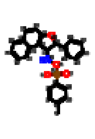 Cc1ccc(S(=O)(=O)ONC2c3c(ccc4ccccc34)OC2c2ccccc2)cc1